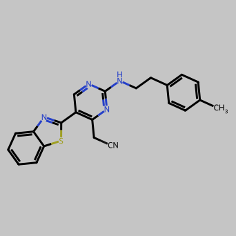 Cc1ccc(CCNc2ncc(-c3nc4ccccc4s3)c(CC#N)n2)cc1